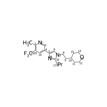 Cc1ncc(-c2cn(CCC3CCOCC3)c(C(C)C)n2)cc1C(F)(F)F